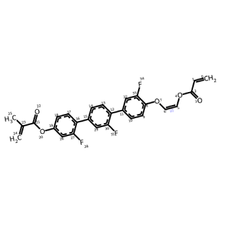 C=CC(=O)O/C=C\Oc1ccc(-c2ccc(-c3ccc(OC(=O)C(=C)C)cc3F)cc2F)cc1F